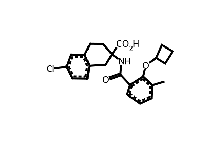 Cc1cccc(C(=O)NC2(C(=O)O)CCc3cc(Cl)ccc3C2)c1OC1CCC1